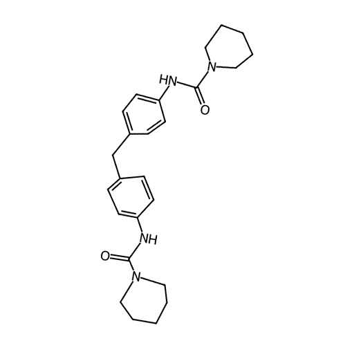 O=C(Nc1ccc(Cc2ccc(NC(=O)N3CCCCC3)cc2)cc1)N1CCCCC1